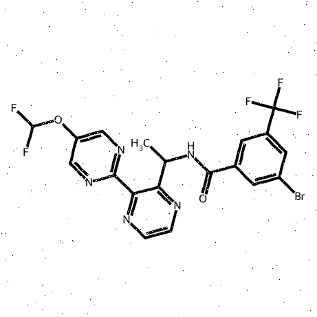 CC(NC(=O)c1cc(Br)cc(C(F)(F)F)c1)c1nccnc1-c1ncc(OC(F)F)cn1